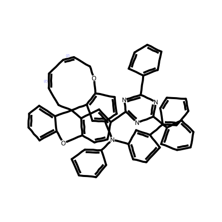 C1=C\COc2ccc(N(c3ccccc3)c3cccc(-c4ccccc4)c3)cc2C2(C\C=C/1)c1ccccc1Oc1ccc(-c3nc(-c4ccccc4)nc(-c4ccccc4)n3)cc12